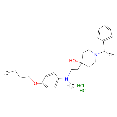 CCCCOc1ccc(N(C)CCC2(O)CCN(C(C)c3ccccc3)CC2)cc1.Cl.Cl